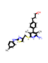 N#Cc1ccc(Nc2nc(CSc3nc(N)c(C#N)c(-c4ccc(CCCO)cc4)c3C#N)cs2)cc1